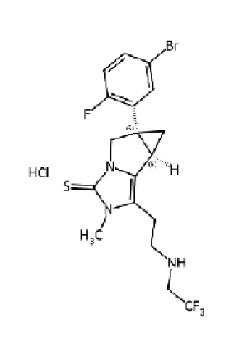 Cl.Cn1c(CCNCC(F)(F)F)c2n(c1=S)C[C@@]1(c3cc(Br)ccc3F)C[C@@H]21